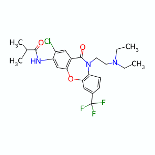 CCN(CC)CCN1C(=O)c2cc(Cl)c(NC(=O)C(C)C)cc2Oc2cc(C(F)(F)F)ccc21